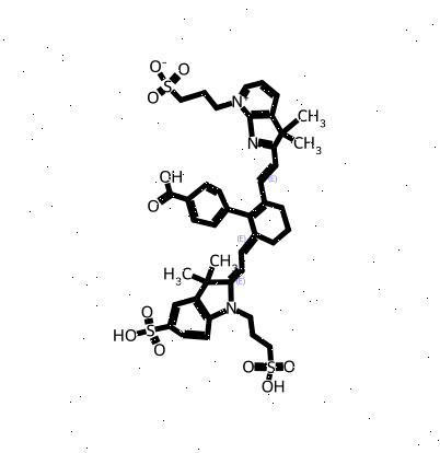 CC1(C)C(/C=C/C2=C(c3ccc(C(=O)O)cc3)C(=C/C=C3/N(CCCS(=O)(=O)O)c4ccc(S(=O)(=O)O)cc4C3(C)C)/CCC2)=Nc2c1ccc[n+]2CCCS(=O)(=O)[O-]